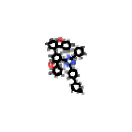 C1=CC2CC2C=C1c1ccc(-c2nc(-c3ccccc3)nc(-c3cc(-c4cccc5oc6ccccc6c45)cc4oc5ccccc5c34)n2)cc1